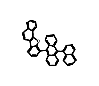 c1ccc2c(-c3c4ccccc4c(-c4cccc5c4oc4c6ccccc6ccc54)c4ccccc34)cccc2c1